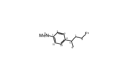 CNc1ccc(C(C)CCF)cc1